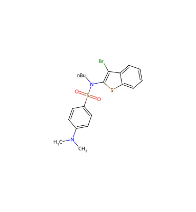 CCCCN(c1sc2ccccc2c1Br)S(=O)(=O)c1ccc(N(C)C)cc1